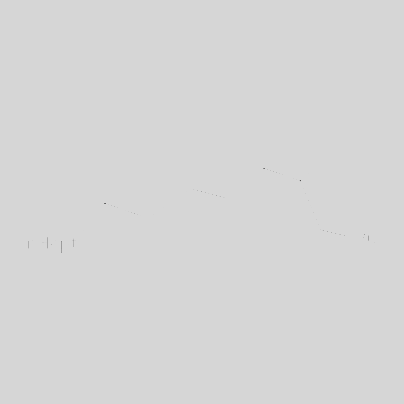 CCCCCCCCCCCCC(C)CC(C)(C)C